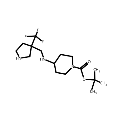 CC(C)(C)OC(=O)N1CCC(NCC2(C(F)(F)F)CCNC2)CC1